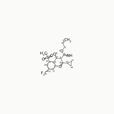 C=CCOC(=N)C(C(=O)c1ccc(C(F)(F)F)cc1S(C)(=O)=O)C(=O)C1CC1